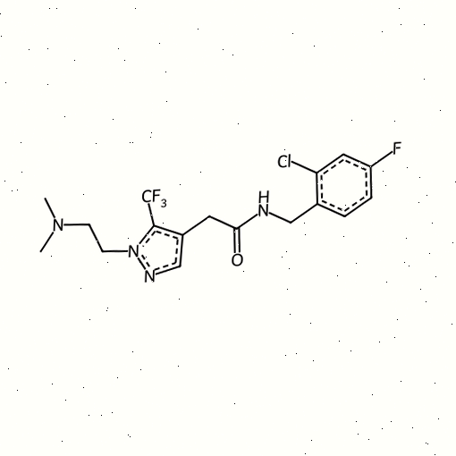 CN(C)CCn1ncc(CC(=O)NCc2ccc(F)cc2Cl)c1C(F)(F)F